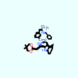 CC1(C)COC(Cc2nccc3c2[nH]c2ccccc23)OC1.O=Cc1cccc(C[C@H](NCc2ccccc2)C(=O)O)c1